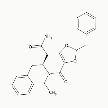 CCN(C(=O)C1=COC(Cc2ccccc2)O1)[C@H](CC(N)=O)Cc1ccccc1